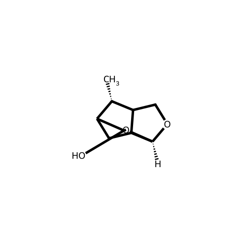 C[C@H]1C2CC3C1CO[C@@H]3OC2O